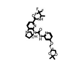 CC(NC(=O)c1ccc2c(n1)N(C(=O)Nc1cc(OC[C@@H]3COC(C)(C)O3)ccn1)[C@H]1CCN2C1)C(F)(F)F